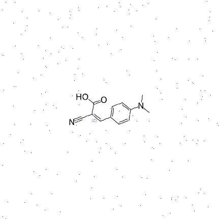 CN(C)c1ccc(/C=C(/C#N)C(=O)O)cc1